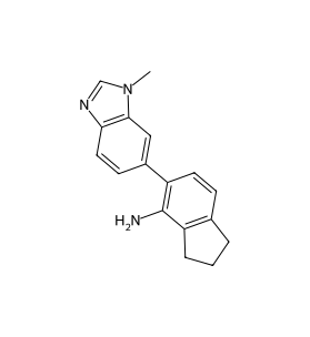 Cn1cnc2ccc(-c3ccc4c(c3N)CCC4)cc21